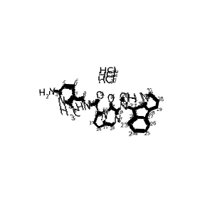 Cc1nc(N)ccc1CNC(=O)[C@@H]1CCc2cnc(N(C)C3c4ccccc4-c4cccnc43)c(=O)n21.Cl.Cl.Cl